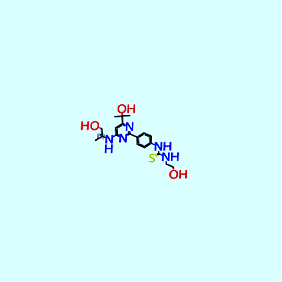 C[C@@H](CO)Nc1cc(C(C)(C)O)nc(-c2ccc(NC(=S)NCCO)cc2)n1